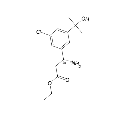 CCOC(=O)C[C@@H](N)c1cc(Cl)cc(C(C)(C)O)c1